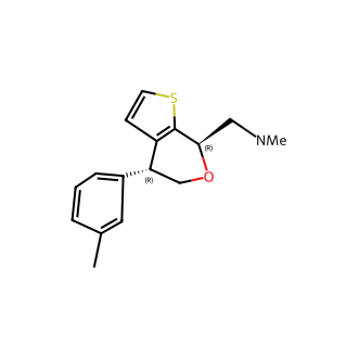 CNC[C@H]1OC[C@H](c2cccc(C)c2)c2ccsc21